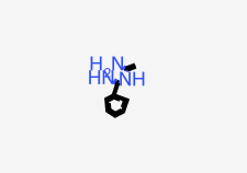 C=C(N)NC(=N)c1ccccc1